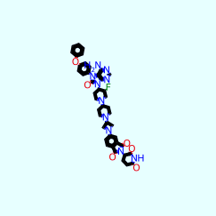 Nc1ncnc2c1n(-c1ccc(Oc3ccccc3)cc1)c(=O)n2[C@@H]1CCN(C2CCN(C3CN(c4ccc5c(c4)C(=O)N([C@@H]4CCC(=O)NC4=O)C5=O)C3)CC2)C[C@H]1F